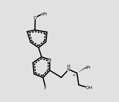 CCCOc1ccc(-c2ccc(F)c(CN[C@@H](CO)C(C)C)n2)cc1